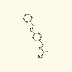 CC(=O)[C@H](C)N=Cc1ccc(OCc2ccccc2)cc1